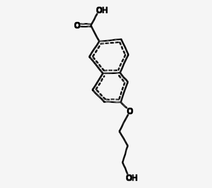 O=C(O)c1ccc2cc(OCCCO)ccc2c1